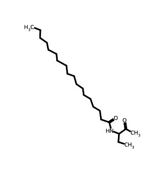 CCCCCCCCCCCCCCCCCC(=O)NC(CC)C(C)=O